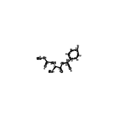 CC[C@H](C)[C@H](NC(=O)OC(C)(C)C)C(=O)/N=[SH](=O)/c1ccc(C)cc1